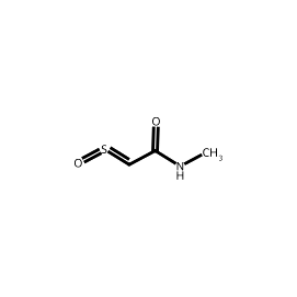 CNC(=O)C=S=O